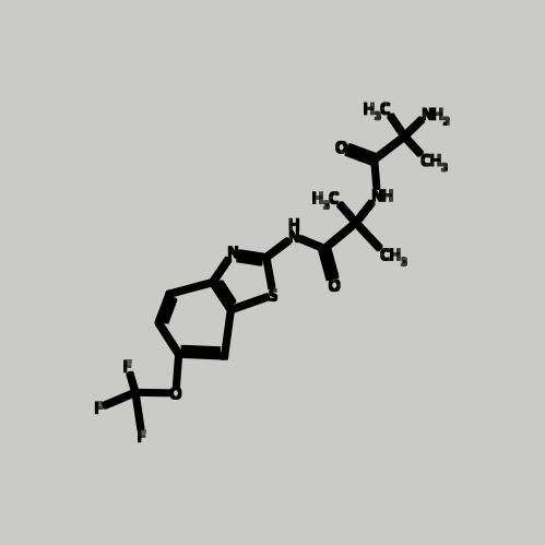 CC(C)(N)C(=O)NC(C)(C)C(=O)Nc1nc2ccc(OC(F)(F)F)cc2s1